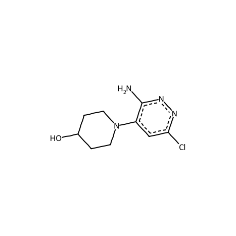 Nc1nnc(Cl)cc1N1CCC(O)CC1